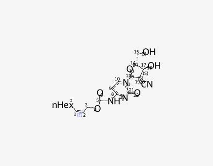 CCCCCC/C=C\COC(=O)Nc1ccn([C@@H]2O[C@H](CO)[C@@H](O)[C@@H]2C#N)c(=O)n1